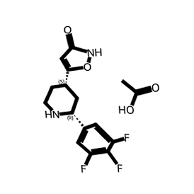 CC(=O)O.O=c1cc([C@H]2CCN[C@@H](c3cc(F)c(F)c(F)c3)C2)o[nH]1